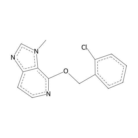 Cn1cnc2ccnc(OCc3ccccc3Cl)c21